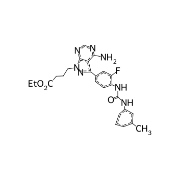 CCOC(=O)CCCn1nc(-c2ccc(NC(=O)Nc3cccc(C)c3)c(F)c2)c2c(N)ncnc21